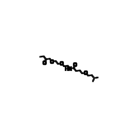 CCC(=O)COCCOCCNC(=O)CCCOCCC(C)C